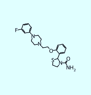 NC(=O)N1CCSC1c1ccccc1OCCN1CCN(c2cccc(F)c2)CC1